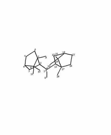 CP(C1CC2CCC1(C)C2(C)C)C1CC2CCC1(C)C2(C)C